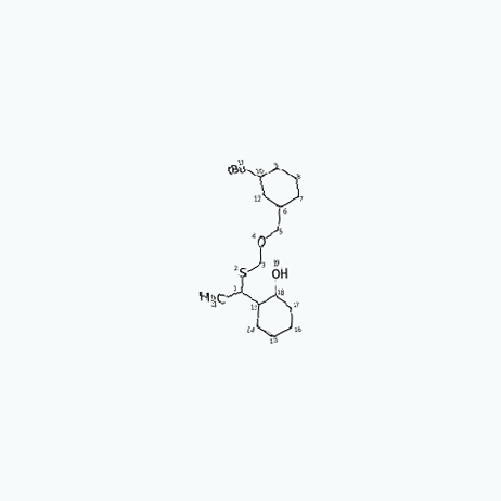 CC(SCOCC1CCCC(C(C)(C)C)C1)C1CCCCC1O